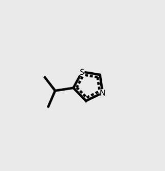 CC(C)c1[c]ncs1